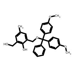 COc1ccc(C(OCc2cc(C)cc(CO)c2O)(c2ccccc2)c2ccc(OC)cc2)cc1